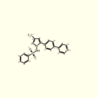 O=S(=O)(Nn1nc(C(F)(F)F)cc1-c1ccc(-c2ccncc2)cc1)c1ccccc1